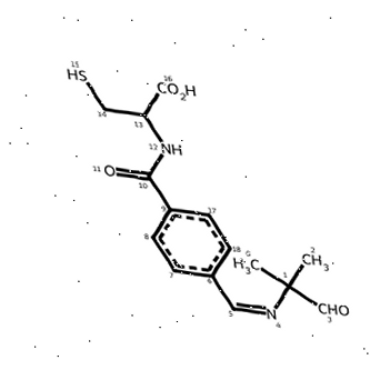 CC(C)(C=O)/N=C\c1ccc(C(=O)NC(CS)C(=O)O)cc1